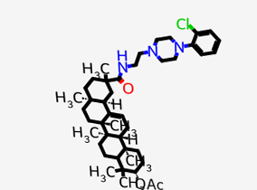 CC(=O)O[C@H]1CC[C@@]2(C)C(CC[C@]3(C)[C@@H]2CC=C2[C@@H]4CC(C)(C(=O)NCCN5CCN(c6ccccc6Cl)CC5)CC[C@]4(C)CC[C@]23C)C1(C)C